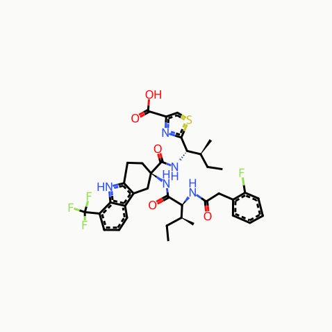 CC[C@H](C)[C@H](NC(=O)Cc1ccccc1F)C(=O)N[C@]1(C(=O)N[C@H](c2nc(C(=O)O)cs2)[C@@H](C)CC)CCc2[nH]c3c(C(F)(F)F)cccc3c2C1